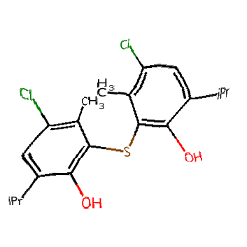 Cc1c(Cl)cc(C(C)C)c(O)c1Sc1c(C)c(Cl)cc(C(C)C)c1O